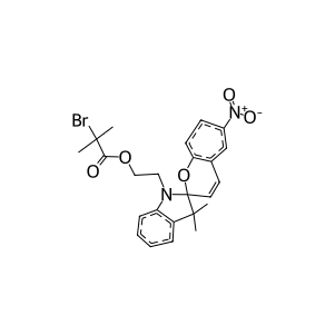 CC(C)(Br)C(=O)OCCN1c2ccccc2C(C)(C)C12C=Cc1cc([N+](=O)[O-])ccc1O2